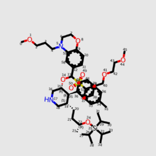 COCCCN1CCOc2ccc(C(O[C@H]3CNC[C@@H](CC[C@@H](C)O[Si](C(C)C)(C(C)C)C(C)C)[C@@H]3c3ccc(COCCOC)cc3)S(=O)(=O)c3ccc(C)cc3)cc21